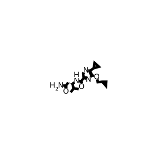 CC(C)[C@H](CC(N)=O)NC(=O)c1cnc(C2CC2)c(OCC2CC2)n1